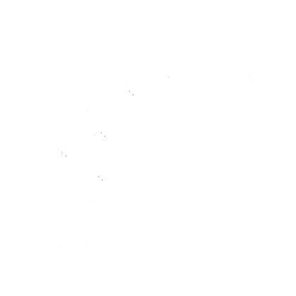 Clc1ccc(CN2CCN(c3ncc4ccccc4n3)CC2)cc1